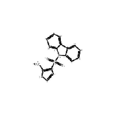 O=C(O)c1sccc1S(=O)(=O)n1c2ccccc2c2ccccc21